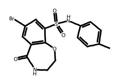 Cc1ccc(NS(=O)(=O)c2cc(Br)cc3c2OCCNC3=O)cc1